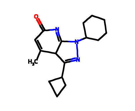 CC1=CC(=O)N=C2C1C(C1CCC1)=NN2C1CCCCC1